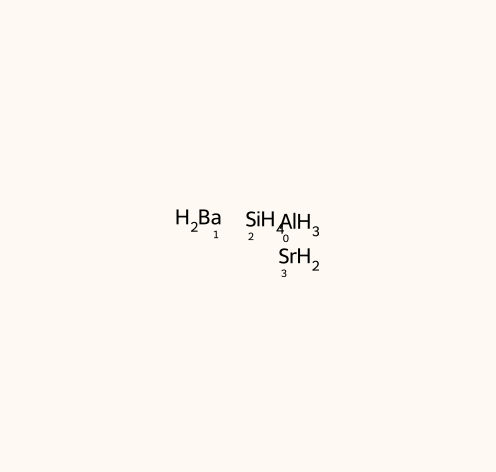 [AlH3].[BaH2].[SiH4].[SrH2]